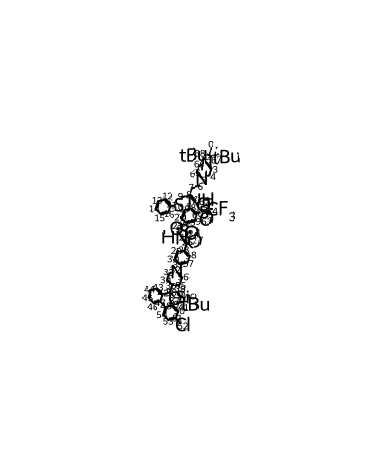 [CH2]C(N1CCN(CC[C@H](CSc2ccccc2)Nc2ccc(S(=O)(=O)NC(=O)c3ccc(N4CCC([C@@H](O[Si](C)(C)C(C)(C)C)c5ccccc5-c5ccc(Cl)cc5)CC4)cc3)cc2S(=O)(=O)C(F)(F)F)CC1)(C(C)(C)C)C(C)(C)C